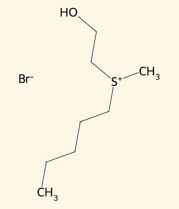 CCCCC[S+](C)CCO.[Br-]